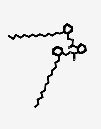 CCCCCCCCCCCCCCc1ccccc1COC(=O)c1ccccc1C(=O)OCc1ccccc1CCCCCCCCCCCCCC